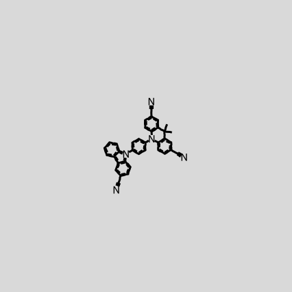 CC1(C)c2cc(C#N)ccc2N(c2ccc(-n3c4ccccc4c4cc(C#N)ccc43)cc2)c2ccc(C#N)cc21